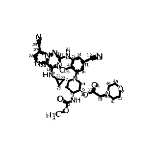 COC(=O)N[C@@H]1CCN(c2cc(C#N)cc(Nc3nc(NC4CC4)c4ncc(C#N)n4n3)c2Cl)C[C@H]1OC(=O)CN1CCOCC1